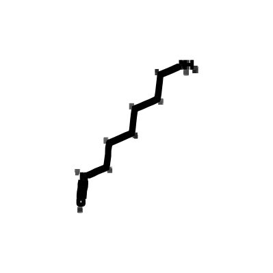 NCCCCCCN=O